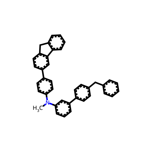 CN(c1ccc(-c2ccc3c(c2)-c2ccccc2C3)cc1)c1cccc(-c2ccc(Cc3ccccc3)cc2)c1